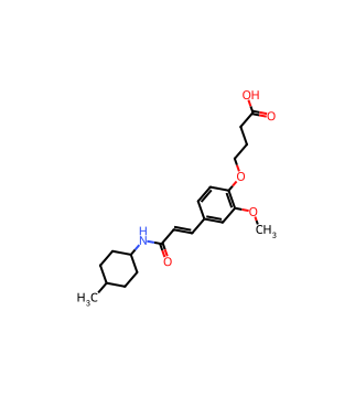 COc1cc(C=CC(=O)NC2CCC(C)CC2)ccc1OCCCC(=O)O